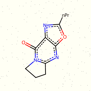 CCCc1nc2c(=O)n3c(nc2o1)CCC3